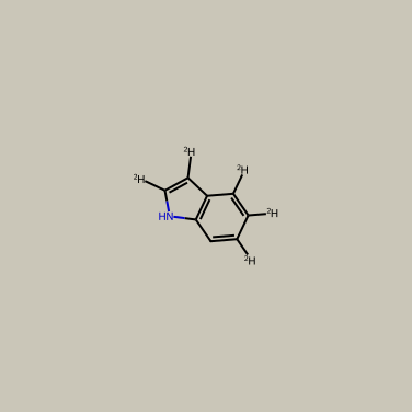 [2H]c1cc2[nH]c([2H])c([2H])c2c([2H])c1[2H]